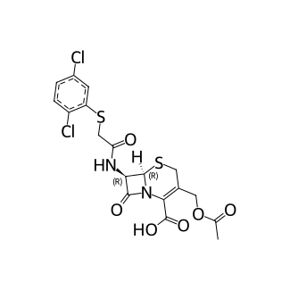 CC(=O)OCC1=C(C(=O)O)N2C(=O)[C@@H](NC(=O)CSc3cc(Cl)ccc3Cl)[C@H]2SC1